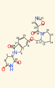 O=C1CCC(N2Cc3cc(OCC4CCCCN4C(=O)c4cnco4)ccc3C2=O)C(=O)N1